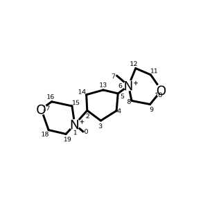 C[N+]1(C2CCC([N+]3(C)CCOCC3)CC2)CCOCC1